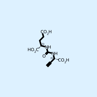 C#C[C@H](NC(=O)N[C@@H](CCC(=O)O)C(=O)O)C(=O)O